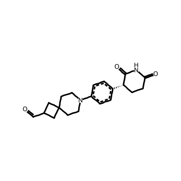 O=CC1CC2(CCN(c3ccc([C@H]4CCC(=O)NC4=O)cc3)CC2)C1